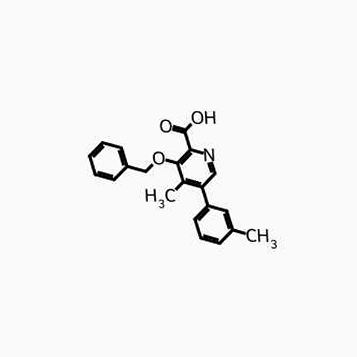 Cc1cccc(-c2cnc(C(=O)O)c(OCc3ccccc3)c2C)c1